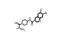 CN(N)C(=N)N1CCC(NC(=O)c2cnc3cc(Br)c(Cl)cc3c2)CC1